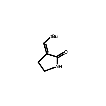 CC(C)(C)/C=C1/CCNC1=O